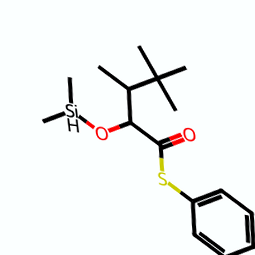 CC(C(O[SiH](C)C)C(=O)Sc1ccccc1)C(C)(C)C